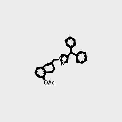 CC(=O)Oc1cccc2c1CCC(Cn1cc(C(c3ccccc3)c3ccccc3)cn1)=C2